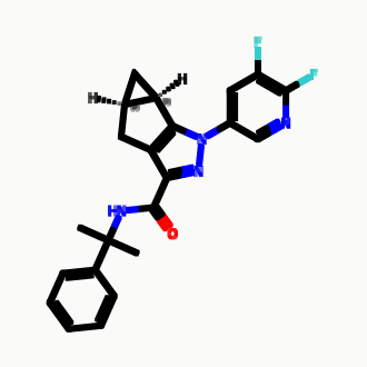 CC(C)(NC(=O)c1nn(-c2cnc(F)c(F)c2)c2c1C[C@H]1C[C@@H]21)c1ccccc1